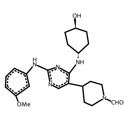 COc1cccc(Nc2ncc(C3CCN(C=O)CC3)c(N[C@H]3CC[C@H](O)CC3)n2)c1